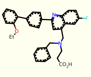 CCOc1ccccc1-c1ccc(-c2cc(CN(CCC(=O)O)Cc3ccccc3)c3cc(F)ccc3n2)cc1